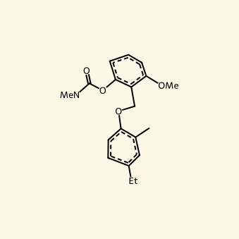 CCc1ccc(OCc2c(OC)cccc2OC(=O)NC)c(C)c1